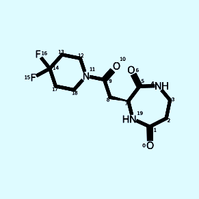 O=C1CCNC(=O)[C@H](CC(=O)N2CCC(F)(F)CC2)N1